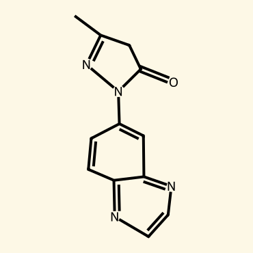 CC1=NN(c2ccc3nccnc3c2)C(=O)C1